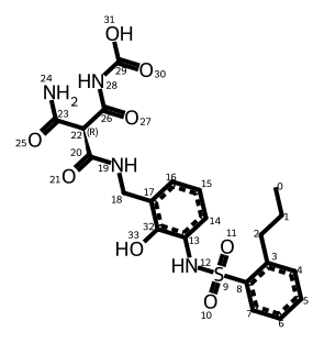 CCCc1ccccc1S(=O)(=O)Nc1cccc(CNC(=O)[C@@H](C(N)=O)C(=O)NC(=O)O)c1O